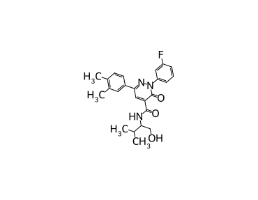 Cc1ccc(-c2cc(C(=O)NC(CO)C(C)C)c(=O)n(-c3cccc(F)c3)n2)cc1C